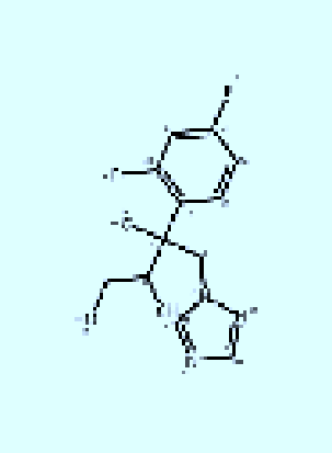 CC(CO)C(O)(Cn1cncn1)c1ccc(F)cc1F